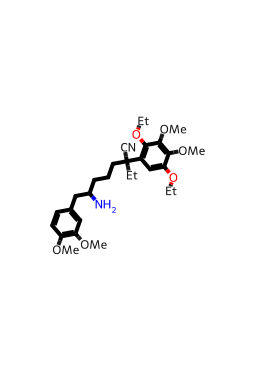 CCOc1cc(C(C#N)(CC)CCCC(N)Cc2ccc(OC)c(OC)c2)c(OCC)c(OC)c1OC